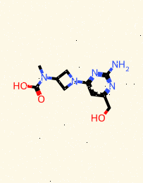 CN(C(=O)O)C1CN(c2cc(CO)nc(N)n2)C1